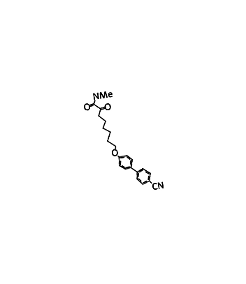 CNC(=O)C(=O)CCCCCCOc1ccc(-c2ccc(C#N)cc2)cc1